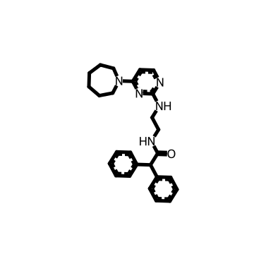 O=C(NCCNc1nccc(N2CCCCCC2)n1)C(c1ccccc1)c1ccccc1